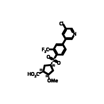 CO[C@H]1C[C@@H](S(=O)(=O)c2ccc(-c3cncc(Cl)c3)cc2C(F)(F)F)C[C@@H]1C(=O)O